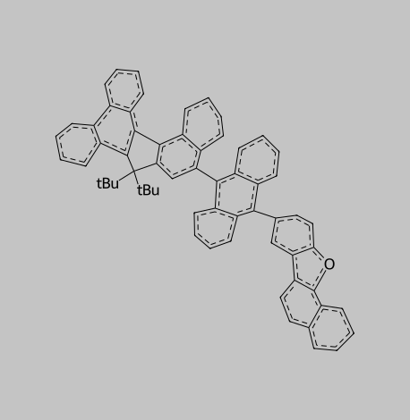 CC(C)(C)C1(C(C)(C)C)c2cc(-c3c4ccccc4c(-c4ccc5oc6c7ccccc7ccc6c5c4)c4ccccc34)c3ccccc3c2-c2c1c1ccccc1c1ccccc21